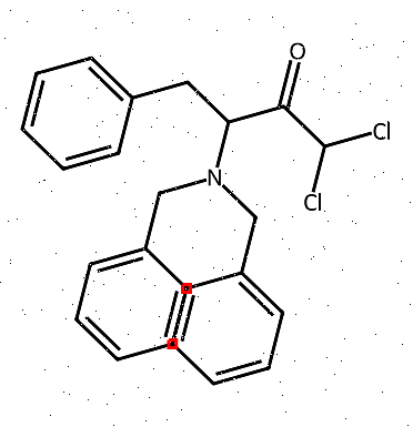 O=C(C(Cl)Cl)C(Cc1ccccc1)N(Cc1ccccc1)Cc1ccccc1